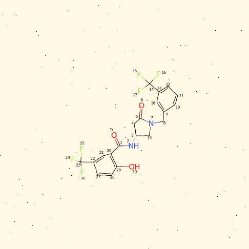 O=C(N[C@@H]1CC(=O)N(Cc2cccc(C(F)(F)F)c2)C1)c1cc(C(F)(F)F)ccc1O